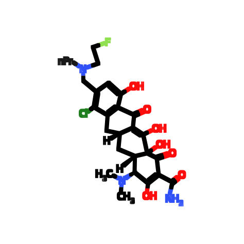 CCCN(CCF)Cc1cc(O)c2c(c1Cl)C[C@H]1C[C@H]3[C@H](N(C)C)C(O)=C(C(N)=O)C(=O)C3(O)C(O)=C1C2=O